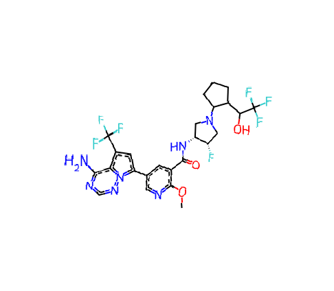 COc1ncc(-c2cc(C(F)(F)F)c3c(N)ncnn23)cc1C(=O)N[C@@H]1CN(C2CCCC2C(O)C(F)(F)F)C[C@@H]1F